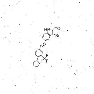 O=Cc1[nH]c2ccc(OCc3ccc(C4CCCC4)c(C(F)(F)F)c3)cc2c1Br